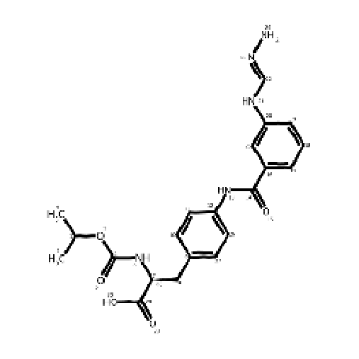 CC(C)OC(=O)N[C@@H](Cc1ccc(NC(=O)c2cccc(NC=NN)c2)cc1)C(=O)O